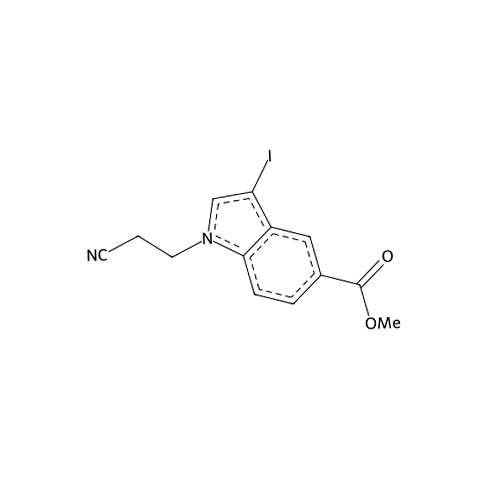 COC(=O)c1ccc2c(c1)c(I)cn2CCC#N